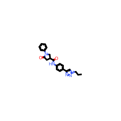 CCCn1cc(-c2ccc(NC(=O)C3CC(=O)N(c4ccccc4)C3)cc2)nn1